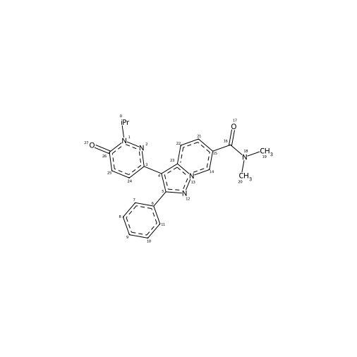 CC(C)n1nc(-c2c(-c3ccccc3)nn3cc(C(=O)N(C)C)ccc23)ccc1=O